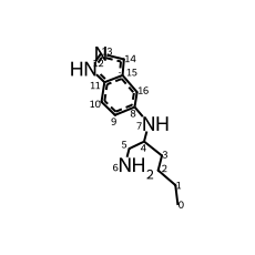 CCCCC(CN)Nc1ccc2[nH]ncc2c1